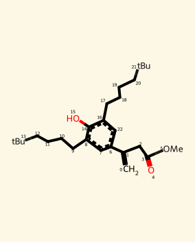 C=C(CC(=O)OC)c1cc(CCCCC(C)(C)C)c(O)c(CCCCC(C)(C)C)c1